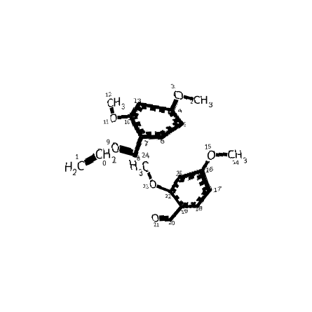 C=C.COc1ccc(C=O)c(OC)c1.COc1ccc(C=O)c(OC)c1